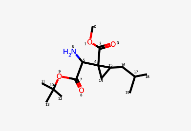 COC(=O)C1(C(N)C(=O)OC(C)(C)C)CC1CC(C)C